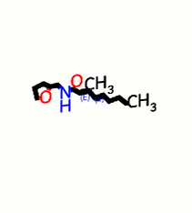 CCCC/C=C/C(C)=C/C(=O)NCC1CCCO1